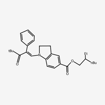 CCCCC(CC)COC(=O)c1ccc2c(c1)CCN2C=C(C(=O)C(C)(C)C)c1ccccc1